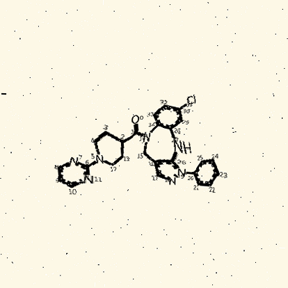 O=C(C1CCN(c2ncccn2)CC1)N1Cc2cnn(-c3ccccc3)c2Nc2cc(Cl)ccc21